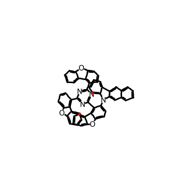 c1ccc2cc3c(cc2c1)c1ccccc1n3-c1ccc2oc3ccccc3c2c1-c1nc(-c2cccc3oc4ccccc4c23)nc(-c2cccc3oc4ccccc4c23)n1